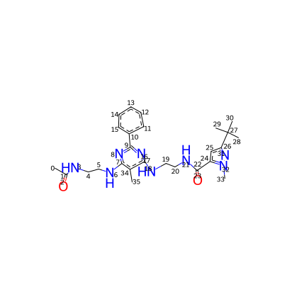 CC(=O)NCCNc1nc(-c2ccccc2)nc(NCCNC(=O)c2cc(C(C)(C)C)nn2C)c1C